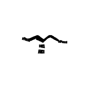 CCCCCC=CCCCCCC.Cl.Cl